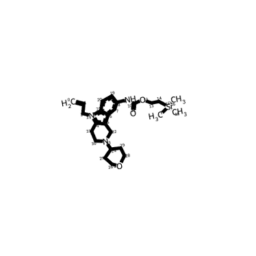 C=CCn1c2c(c3cc(NC(=O)OCC[Si](C)(C)C)ccc31)CN(C1CCOCC1)CC2